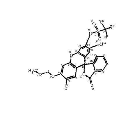 COCOc1cc2c(cc1Cl)C1(OC(=O)c3ccccc31)c1cc(Cl)c(OS(=O)(=O)C(F)(F)F)cc1O2